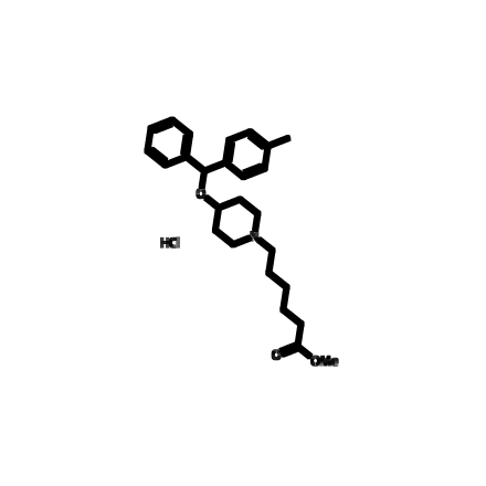 COC(=O)CCCCCN1CCC(OC(c2ccccc2)c2ccc(C)cc2)CC1.Cl